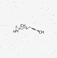 C#CC#CCCCCC(C)(F)CCC